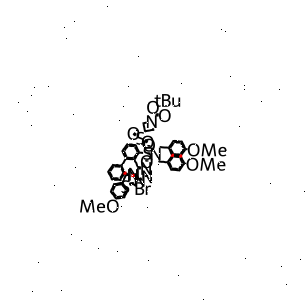 COc1ccc(CN(Cc2ccc(OC)cc2)S(=O)(=O)c2c(S(=O)(=O)C3CN(C(=O)OC(C)(C)C)C3)ccc(-c3cccc4sc(Br)nc34)c2-c2nnnn2Cc2ccc(OC)cc2)cc1